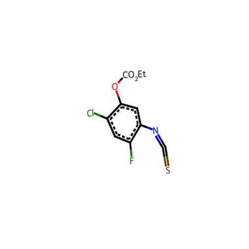 CCOC(=O)Oc1cc(N=C=S)c(F)cc1Cl